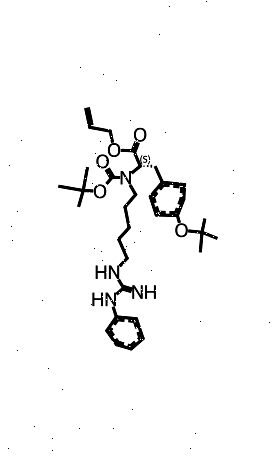 C=CCOC(=O)[C@H](Cc1ccc(OC(C)(C)C)cc1)N(CCCCCNC(=N)Nc1ccccc1)C(=O)OC(C)(C)C